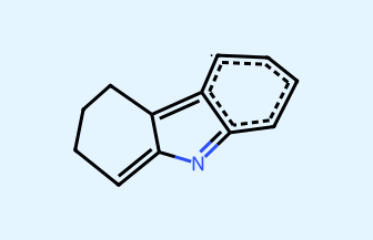 [c]1cccc2c1=C1CCCC=C1N=2